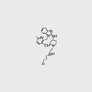 COCCCNCCN1CCC(Nc2nc3ccccc3n2Cc2nc(C)ccc2O)CC1